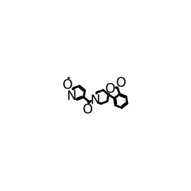 COc1ccc(C(=O)N2CCC3(CC2)OC(=O)c2ccccc23)cn1